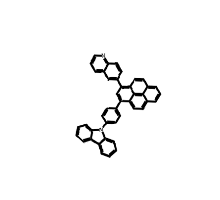 c1cnc2ccc(-c3cc(-c4ccc(-n5c6ccccc6c6ccccc65)cc4)c4ccc5cccc6ccc3c4c56)cc2c1